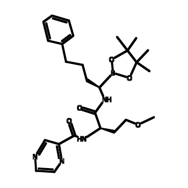 COCC[C@@H](NC(=O)c1cnccn1)C(=O)N[C@@H](CCCc1ccccc1)B1OC(C)(C)C(C)(C)O1